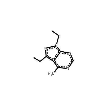 [CH2]Cn1nc(CC)c2c(N)ncnc21